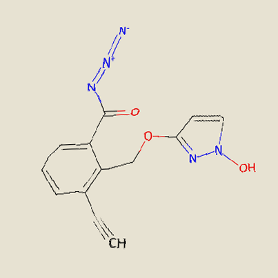 C#Cc1cccc(C(=O)N=[N+]=[N-])c1COc1ccn(O)n1